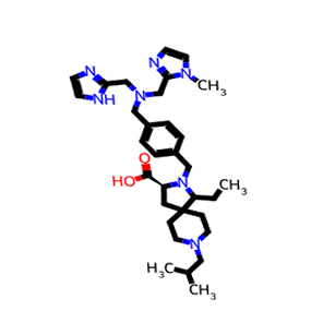 CCC1N(Cc2ccc(CN(Cc3ncc[nH]3)Cc3nccn3C)cc2)[C@H](C(=O)O)CC12CCN(CC(C)C)CC2